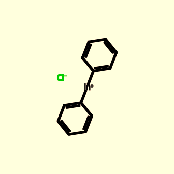 [Cl-].c1cc[c]([In+][c]2ccccc2)cc1